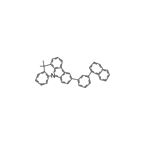 CC1(C)c2ccccc2-n2c3ccc(-c4cccc(-c5cccc6ccccc56)c4)cc3c3cccc1c32